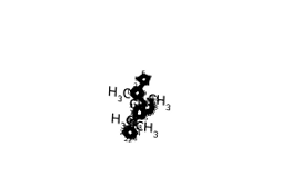 Cc1cc(C2CCCC2)cc(-c2c3ccc([Si](C)(C)c4ccccc4)cc3cc[n+]2C)c1C